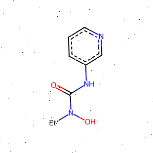 CCN(O)C(=O)Nc1cccnc1